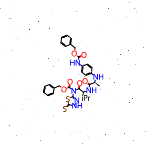 CC(C)[C@H](NC(=O)[C@H](C)Nc1ccc(NC(=O)OCc2ccccc2)cc1)C(=O)N(C(=O)OCc1ccccc1)c1n[nH]c(=S)s1